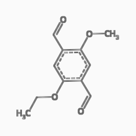 CCOc1cc(C=O)c(OC)cc1C=O